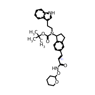 CC(C)(C)OC(=O)N(CCc1c[nH]c2ccccc12)C1CCc2cc(/C=C/C(=O)NOC3CCCCO3)ccc21